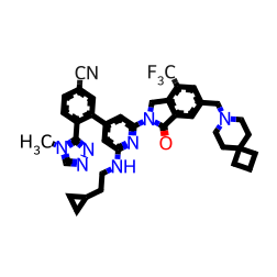 Cn1cnnc1-c1ccc(C#N)cc1-c1cc(NCCC2CC2)nc(N2Cc3c(cc(CN4CCC5(CCC5)CC4)cc3C(F)(F)F)C2=O)c1